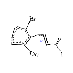 CC(=O)/C=C/c1c(O)cccc1Br